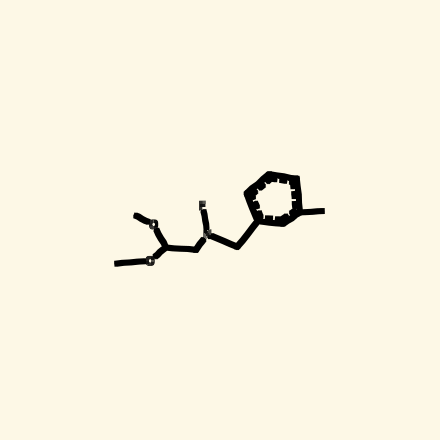 COC(CN(F)Cc1cccc(C)c1)OC